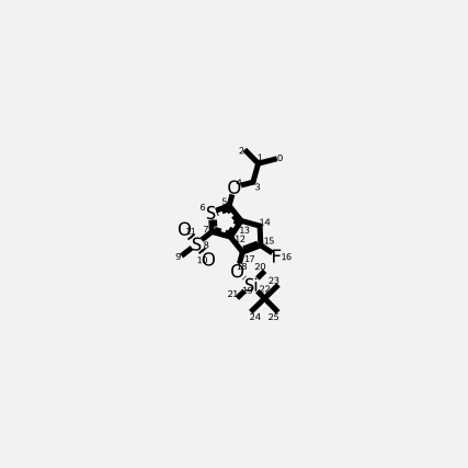 CC(C)COc1sc(S(C)(=O)=O)c2c1CC(F)=C2O[Si](C)(C)C(C)(C)C